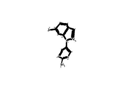 Nc1ncc(-n2ncc3ccc(Br)cc32)cn1